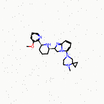 COc1cccnc1[C@@H]1CCC[C@H](C2CN3C(N4CCN(C)C5(CC5)C4)=CC=CC3=N2)N1